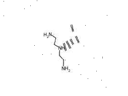 C=C.C=C.C=C.C=C.C=C.NCCNCCN